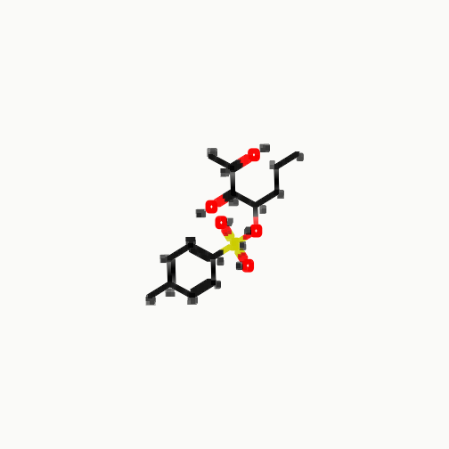 CCCC(OS(=O)(=O)c1ccc(C)cc1)C(=O)C(C)=O